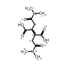 CN(C)C(=O)C/C(C(=O)O)=C(/CC(=O)N(C)C)C(=O)O